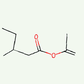 C=C(C)OC(=O)CC(C)CC